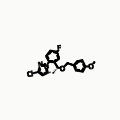 COc1ccc(CO[C@H](C)c2cc(F)ccc2-n2[c]cc(Cl)n2)cc1